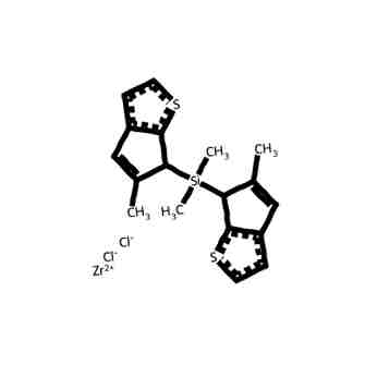 CC1=Cc2ccsc2C1[Si](C)(C)C1C(C)=Cc2ccsc21.[Cl-].[Cl-].[Zr+2]